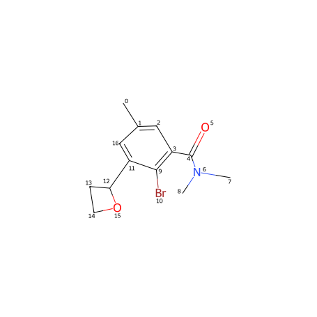 Cc1cc(C(=O)N(C)C)c(Br)c(C2CCO2)c1